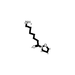 NCCCCCCC(=O)N1CCCO1